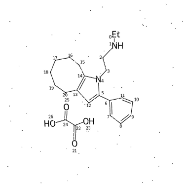 CCNCCn1c(-c2ccccc2)cc2c1CCCCCC2.O=C(O)C(=O)O